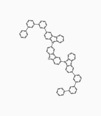 c1ccc(-c2cccc(-c3cccc(-c4ccc5c(c4)c4ccccc4n5-c4ccc5oc6ccc(-n7c8ccccc8c8cc(-c9cccc(-c%10cccc(-c%11ccccc%11)c%10)c9)ccc87)cc6c5c4)c3)c2)cc1